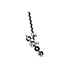 CCCCCCCCCCCCOC(=S)CC[C@H](NC(=O)c1ccc(-n2ccnn2)cc1)C(=O)N1CCN(C)CC1